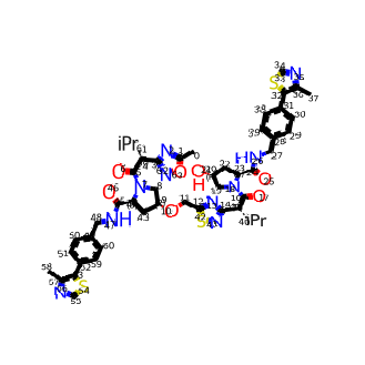 Cc1nc([C@H](C(=O)N2C[C@H](OCc3nc([C@H](C(=O)N4C[C@H](O)C[C@H]4C(=O)NCc4ccc(-c5scnc5C)cc4)C(C)C)ns3)C[C@H]2C(=O)NCc2ccc(-c3scnc3C)cc2)C(C)C)no1